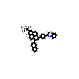 CC(C)(C)c1cc2ccc3c(-c4ccc(-c5cnc6ccccc6n5)cc4)cc(-c4ccc5ccccc5c4)c4ccc(c1)c2c34